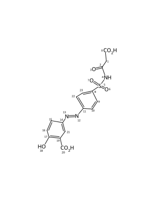 O=C(O)CC(=O)NS(=O)(=O)c1ccc(/N=N/c2ccc(O)c(C(=O)O)c2)cc1